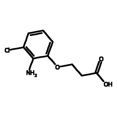 Nc1c(Cl)cccc1OCCC(=O)O